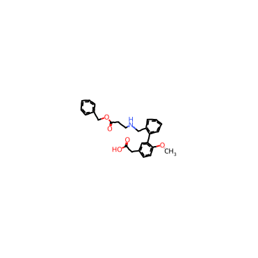 COc1ccc(CC(=O)O)cc1-c1ccccc1CNCCC(=O)OCc1ccccc1